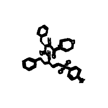 O=C(NC(C=CS(=O)(=O)c1ccc(Br)cc1)CCc1ccccc1)[C@H](Cc1ccccc1)NC(=O)N1CCOCC1